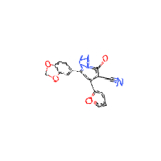 N#Cc1c(-c2ccco2)cc(-c2ccc3c(c2)OCO3)[nH]c1=O